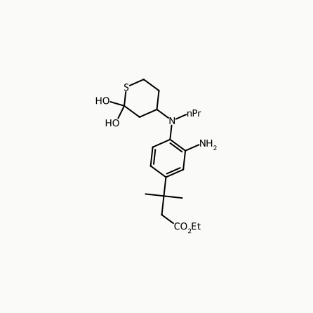 CCCN(c1ccc(C(C)(C)CC(=O)OCC)cc1N)C1CCSC(O)(O)C1